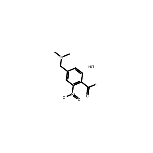 CN(C)Cc1ccc(C(=O)Cl)c([N+](=O)[O-])c1.Cl